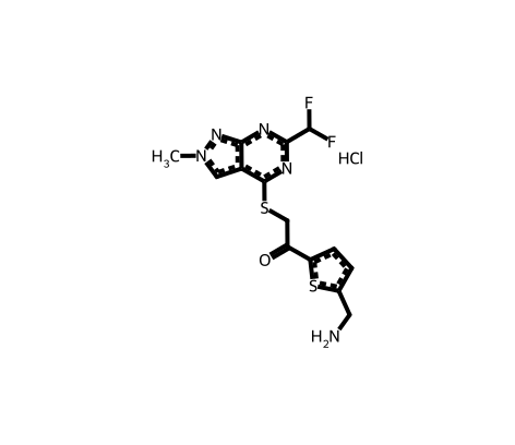 Cl.Cn1cc2c(SCC(=O)c3ccc(CN)s3)nc(C(F)F)nc2n1